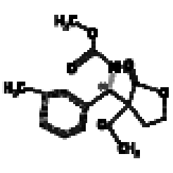 COC(=O)N[C@@H](c1cccc(C)c1)C1(C(C)=O)CCOC1=O